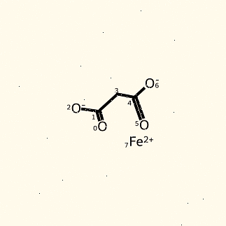 O=C([O-])CC(=O)[O-].[Fe+2]